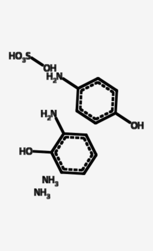 N.N.Nc1ccc(O)cc1.Nc1ccccc1O.O=S(=O)(O)O